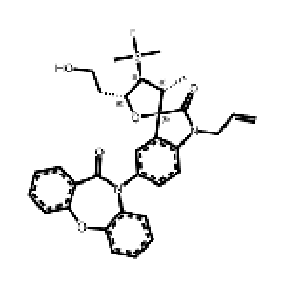 C=CCN1C(=O)[C@]2(O[C@H](CCO)[C@@H](S(C)(C)F)[C@@H]2C)c2cc(N3C(=O)c4ccccc4Oc4ccccc43)ccc21